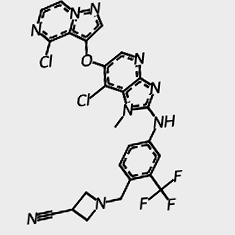 Cn1c(Nc2ccc(CN3CC(C#N)C3)c(C(F)(F)F)c2)nc2ncc(Oc3cnn4ccnc(Cl)c34)c(Cl)c21